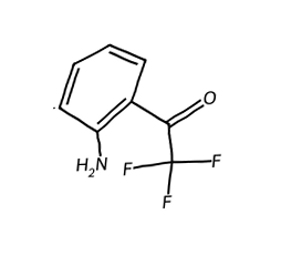 Nc1[c]cccc1C(=O)C(F)(F)F